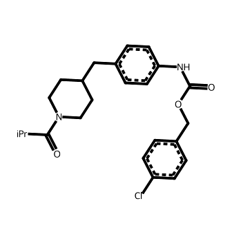 CC(C)C(=O)N1CCC(Cc2ccc(NC(=O)OCc3ccc(Cl)cc3)cc2)CC1